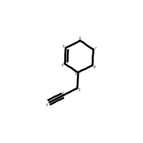 C#C[CH]C1C=CCCC1